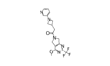 COc1nc(C(F)(F)F)nc2c1CN(C(=O)CC1CN(c3cccnc3)C1)C2